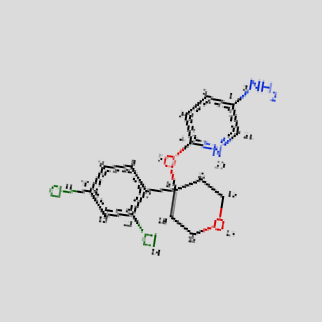 Nc1ccc(OC2(c3ccc(Cl)cc3Cl)CCOCC2)nc1